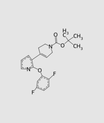 CC(C)(C)OC(=O)N1CC=C(c2cccnc2Oc2cc(F)ccc2F)CC1